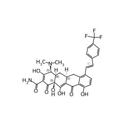 CN(C)[C@@H]1C(O)=C(C(N)=O)C(=O)[C@@]2(O)C(O)=C3C(=O)c4c(O)ccc(/C=C/c5ccc(C(F)(F)F)cc5)c4C[C@@H]3C[C@H]12